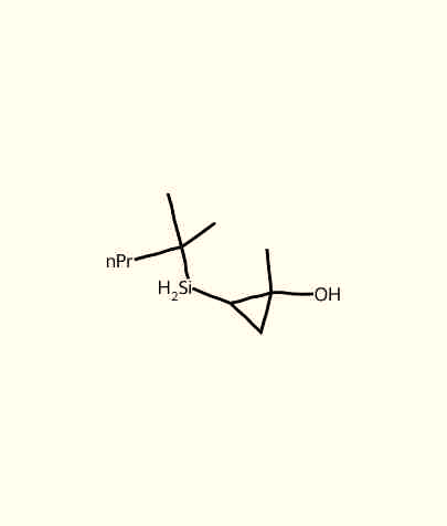 CCCC(C)(C)[SiH2]C1CC1(C)O